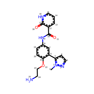 Cn1nccc1-c1cc(NC(=O)c2ccc[nH]c2=O)ccc1OCCN